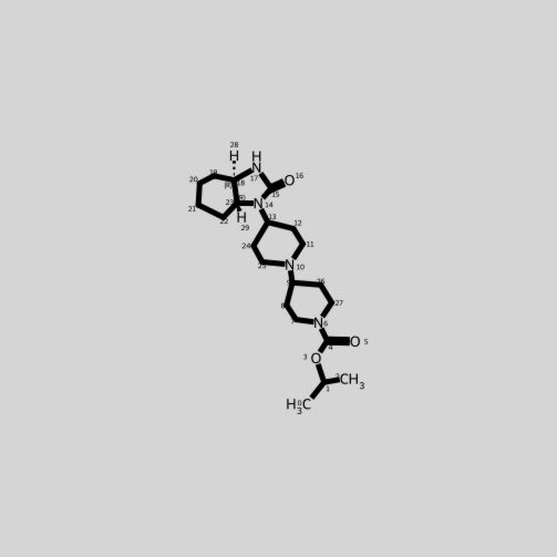 CC(C)OC(=O)N1CCC(N2CCC(N3C(=O)N[C@@H]4CCCC[C@H]43)CC2)CC1